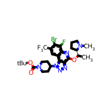 CC(Oc1nc2c(F)c(Br)c(C(F)(F)F)cc2c2c1nnn2C1CCN(C(=O)OC(C)(C)C)CC1)[C@@H]1CCCN1C